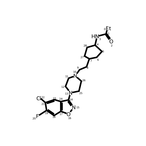 CCC(=O)NC1CCC(CCN2CCN(c3noc4cc(F)c(Cl)cc34)CC2)CC1